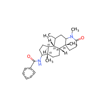 CC1CC2N(C)C(=O)CC[C@]2(C)[C@@H]2CC[C@]3(C)C(NC(=O)c4ccccc4)CC[C@H]3[C@H]12